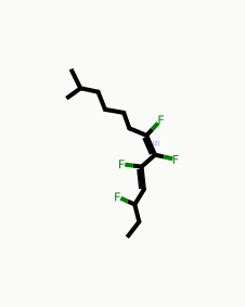 CCC(F)C=C(F)/C(F)=C(/F)CCCCC(C)C